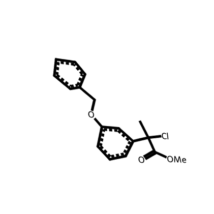 COC(=O)C(C)(Cl)c1cccc(OCc2ccccc2)c1